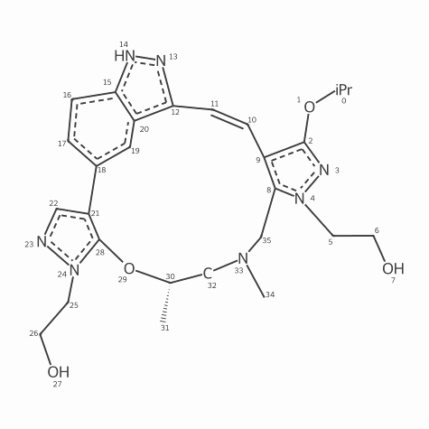 CC(C)Oc1nn(CCO)c2c1/C=C/c1n[nH]c3ccc(cc13)-c1cnn(CCO)c1O[C@@H](C)CN(C)C2